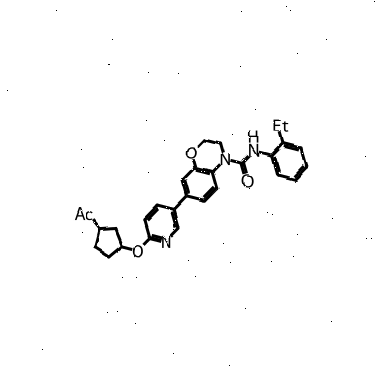 CCc1ccccc1NC(=O)N1CCOc2cc(-c3ccc(OC4CCC(C(C)=O)C4)nc3)ccc21